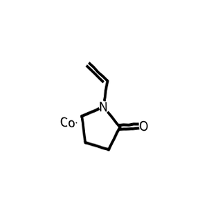 C=CN1CCCC1=O.[Co]